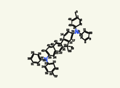 Cc1ccc(N(c2ccccc2)c2ccc3c(c2)C(C)(C)c2cc4cc(N(c5ccccc5)c5ccc(C)cc5)ccc4cc2-3)cc1